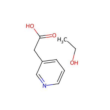 CCO.O=C(O)Cc1cccnc1